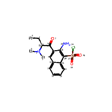 CCN(CC)[C@@H](CC(C)C)C(=O)c1cc2ccccc2c(S(=O)(=O)Cl)c1N